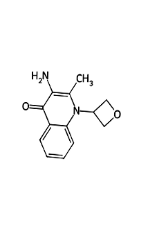 Cc1c(N)c(=O)c2ccccc2n1C1COC1